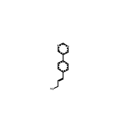 OCC=Cc1ccc(-c2cncnc2)cc1